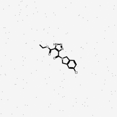 CCOC(=O)c1[nH]nnc1C(=O)N1Cc2ccc(Cl)cc2C1